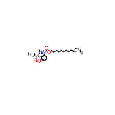 C=CCCCCCCCCCOC(=O)Nc1cccc(O)c1C(=O)O